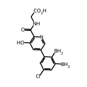 Bc1cc(Cl)cc(-c2cnc(C(=O)NCC(=O)O)c(O)c2)c1B